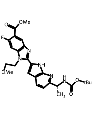 COCCn1c(-c2cc3ccc([C@@H](C)NC(=O)OC(C)(C)C)nc3[nH]2)nc2cc(C(=O)OC)c(F)cc21